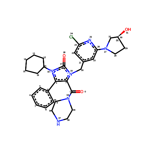 O=C(c1c(-c2ccccc2)n(C2CCCCC2)c(=O)n1Cc1cc(Cl)nc(N2CC[C@H](O)C2)c1)N1CCNCC1